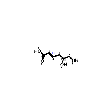 O=C(O)/C=C/C[C@H](O)CO